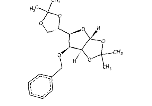 CC1(C)O[C@H]2O[C@H]([C@@H]3COC(C)(C)O3)[C@H](OCc3ccccc3)[C@@H]2O1